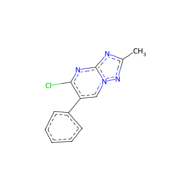 Cc1nc2nc(Cl)c(-c3ccccc3)cn2n1